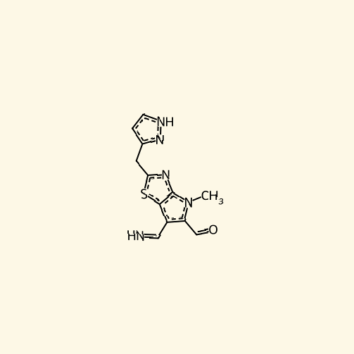 Cn1c(C=O)c(C=N)c2sc(Cc3cc[nH]n3)nc21